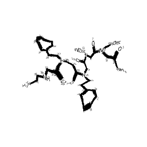 CCCCCCCCCCN(CC(N)=O)C(=O)CN(CCCCCCCCCC)C(=O)CN(CCc1ccccc1)C(=O)CN(CCc1ccccc1)C(=O)CNCCN